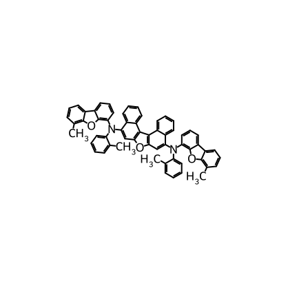 Cc1ccccc1N(c1cc2oc3cc(N(c4ccccc4C)c4cccc5c4oc4c(C)cccc45)c4ccccc4c3c2c2ccccc12)c1cccc2c1oc1c(C)cccc12